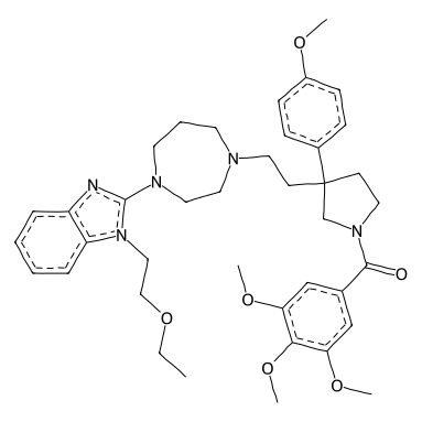 CCOCCn1c(N2CCCN(CCC3(c4ccc(OC)cc4)CCN(C(=O)c4cc(OC)c(OC)c(OC)c4)C3)CC2)nc2ccccc21